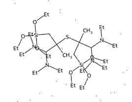 CCO[Si](CC(C)(SC(C)(C[Si](OCC)(OCC)OCC)C(N(CC)CC)N(CC)CC)C(N(CC)CC)N(CC)CC)(OCC)OCC